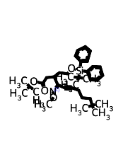 CO/N=C(\C#CCCCC(C)(C)C)C(CCO[Si](c1ccccc1)(c1ccccc1)C(C)(C)C)CC(=O)OC(C)(C)C